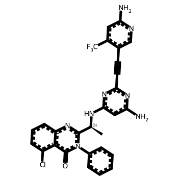 C[C@H](Nc1cc(N)nc(C#Cc2cnc(N)cc2C(F)(F)F)n1)c1nc2cccc(Cl)c2c(=O)n1-c1ccccc1